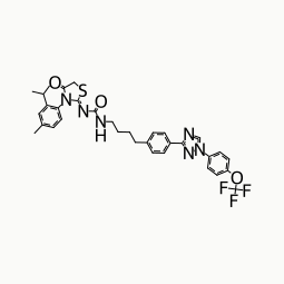 Cc1ccc(N2C(=O)CS/C2=N\C(=O)NCCCCc2ccc(-c3ncn(-c4ccc(OC(F)(F)F)cc4)n3)cc2)c(C(C)C)c1